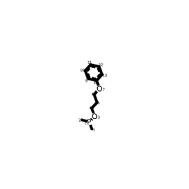 CP(C)OCCCOc1ccccc1